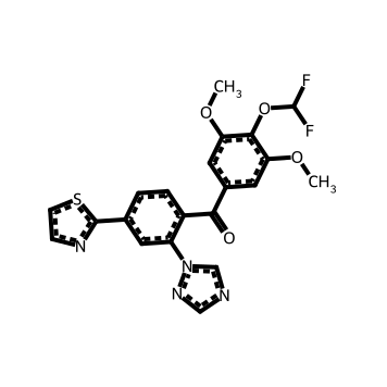 COc1cc(C(=O)c2ccc(-c3nccs3)cc2-n2cncn2)cc(OC)c1OC(F)F